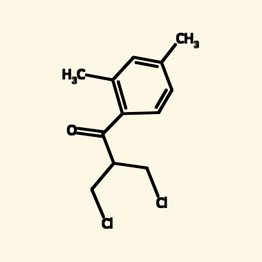 Cc1ccc(C(=O)C(CCl)CCl)c(C)c1